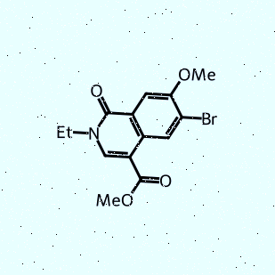 CCn1cc(C(=O)OC)c2cc(Br)c(OC)cc2c1=O